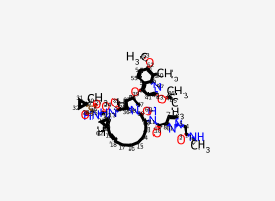 CNC(=O)Cn1ccc(C(=O)N[C@H]2CCCCCC=C[C@@H]3C[C@@]3(C(=O)NS(=O)(=O)C3(C)CC3)NC(=O)[C@@H]3C[C@@H](Oc4cc(OC(C)C)nc5c(C)c(OC)ccc45)CN3C2=O)n1